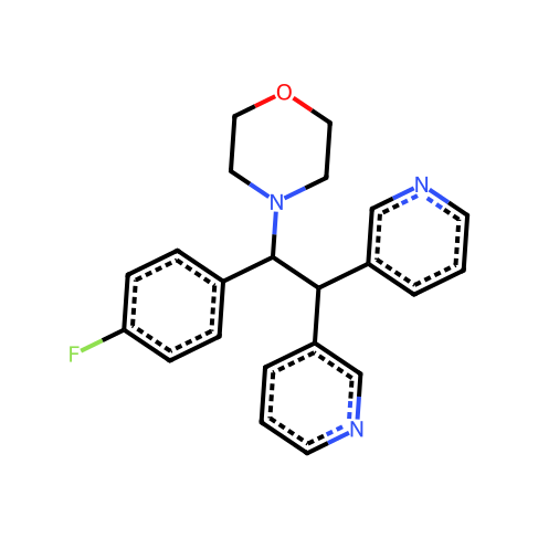 Fc1ccc(C(C(c2cccnc2)c2cccnc2)N2CCOCC2)cc1